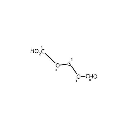 O=COSOC(=O)O